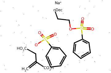 C=C(CC(=O)O)C(=O)O.CCCCCCCCCCCCOS(=O)(=O)c1ccccc1.O=S(=O)([O-])c1ccccc1.[Na+]